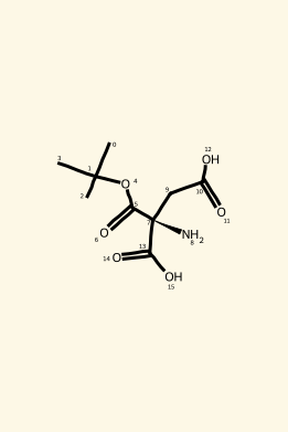 CC(C)(C)OC(=O)[C@](N)(CC(=O)O)C(=O)O